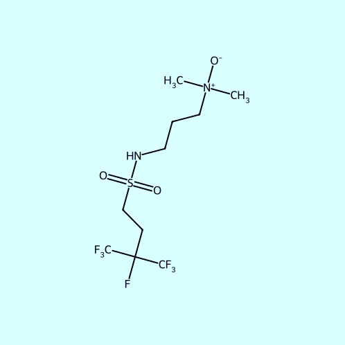 C[N+](C)([O-])CCCNS(=O)(=O)CCC(F)(C(F)(F)F)C(F)(F)F